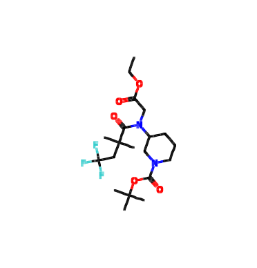 CCOC(=O)CN(C(=O)C(C)(C)CC(F)(F)F)C1CCCN(C(=O)OC(C)(C)C)C1